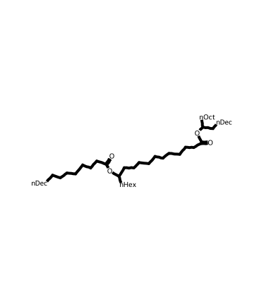 CCCCCCCCCCCCCCCCCC(=O)OC(CCCCCC)CCCCCCCCCCC(=O)OC(CCCCCCCC)CCCCCCCCCCC